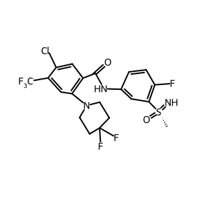 C[S@](=N)(=O)c1cc(NC(=O)c2cc(Cl)c(C(F)(F)F)cc2N2CCC(F)(F)CC2)ccc1F